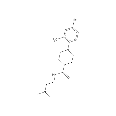 CCc1ccc(N2CCC(C(=O)NCCN(C)C)CC2)c(C(F)(F)F)c1